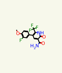 COc1ccc(-c2cc(C(N)=O)c(=O)[nH]c2C(F)(F)F)cc1F